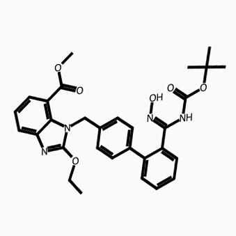 CCOc1nc2cccc(C(=O)OC)c2n1Cc1ccc(-c2ccccc2C(=NO)NC(=O)OC(C)(C)C)cc1